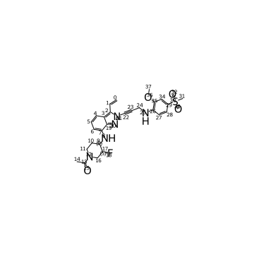 C=Cc1c2cccc(N[C@@H]3CCN(C(C)=O)C[C@@H]3F)c2nn1C#CCNc1ccc(S(C)(=O)=O)cc1OC